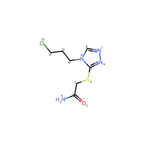 NC(=O)CSc1nncn1CCCCl